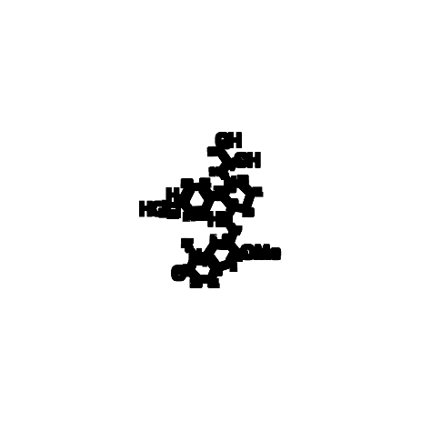 COc1cc2c(cc1CNC1CCCN(C[C@H](O)CO)[C@H]1c1ccccc1)N(C)C(=O)CC2.Cl.Cl